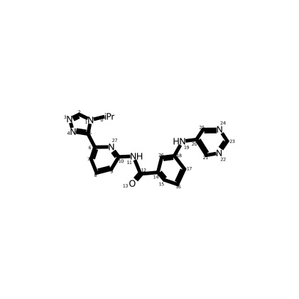 CC(C)n1cnnc1-c1cccc(NC(=O)c2cccc(Nc3cncnc3)c2)n1